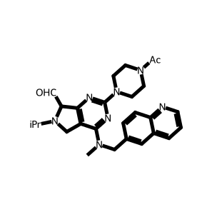 CC(=O)N1CCN(c2nc3c(c(N(C)Cc4ccc5ncccc5c4)n2)CN(C(C)C)C3C=O)CC1